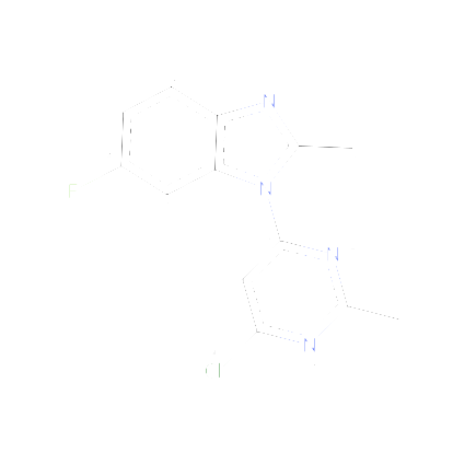 Cc1nc(Cl)cc(-n2c(C)nc3ccc(F)cc32)n1